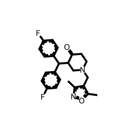 Cc1noc(C)c1CN1CCC(=O)C(C(c2ccc(F)cc2)c2ccc(F)cc2)C1